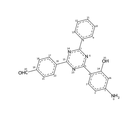 Nc1ccc(-c2nc(-c3ccccc3)nc(-c3ccc(C=O)cc3)n2)c(O)c1